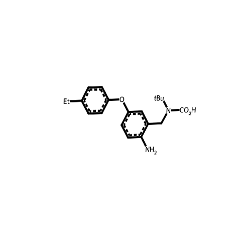 CCc1ccc(Oc2ccc(N)c(CN(C(=O)O)C(C)(C)C)c2)cc1